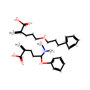 C=C(CCC(Oc1ccccc1)N(C)C)C(=O)O.C=C(CCCOCCCc1ccccc1)C(=O)O